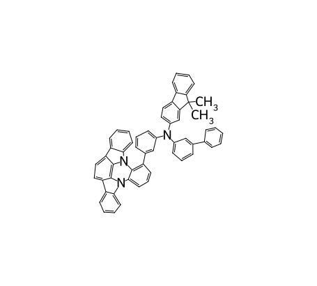 CC1(C)c2ccccc2-c2ccc(N(c3cccc(-c4ccccc4)c3)c3cccc(-c4cccc5c4n4c6ccccc6c6ccc7c8ccccc8n5c7c64)c3)cc21